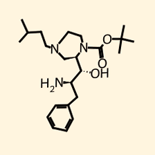 CC(C)CCN1CCN(C(=O)OC(C)(C)C)[C@@H]([C@H](O)[C@H](N)Cc2ccccc2)C1